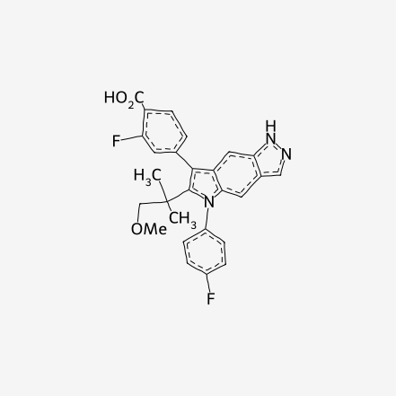 COCC(C)(C)c1c(-c2ccc(C(=O)O)c(F)c2)c2cc3[nH]ncc3cc2n1-c1ccc(F)cc1